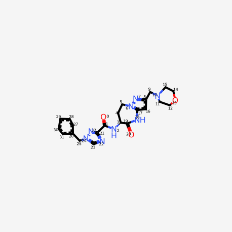 O=C(N[C@H]1CCn2nc(CN3CCOCC3)cc2NC1=O)c1ncn(Cc2ccccc2)n1